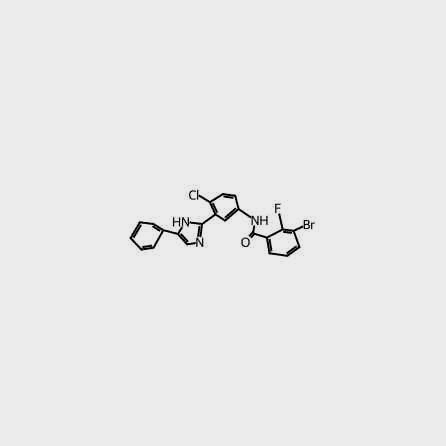 O=C(Nc1ccc(Cl)c(-c2ncc(-c3ccccc3)[nH]2)c1)c1cccc(Br)c1F